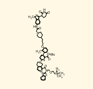 Cc1c(OCCCC2CCN(CC(=O)Nc3ccc4c(C5CCC(=O)NC5=O)nn(C)c4c3)CC2)cccc1-c1ccc(N2CCc3ccnc(C(=O)N(COCC[Si](C)(C)C)c4nc5ccccc5s4)c3C2)nc1C(=O)OC(C)(C)C